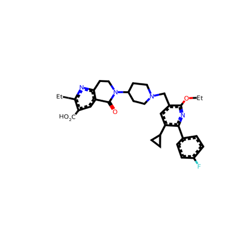 CCOc1nc(-c2ccc(F)cc2)c(C2CC2)cc1CN1CCC(N2CCc3nc(CC)c(C(=O)O)cc3C2=O)CC1